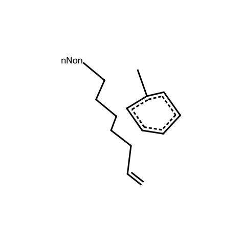 C=CCCCCCCCCCCCCCC.Cc1ccccc1